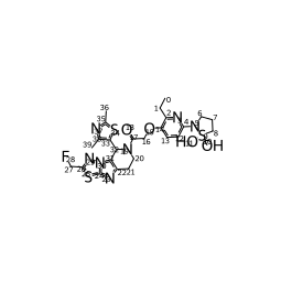 CCc1nc(N2CCCS2(O)O)ccc1OCC(=O)N1CCc2nc3sc(CF)nn3c2C1c1sc(C)nc1C